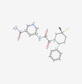 C[C@@]1(F)CC[C@H](c2ccccc2)N(C(=O)C(=O)Nc2cncc(C(N)=O)c2)C1